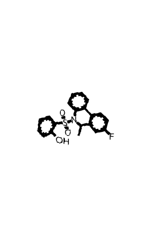 CC1c2cc(F)ccc2-c2ccccc2N1S(=O)(=O)c1ccccc1O